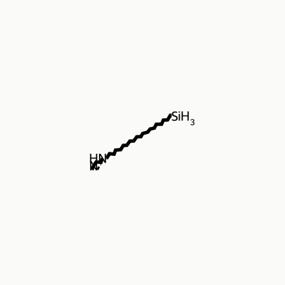 C[N+](C)(C)CCNCCCCCCCCCCCCCCCCCCCC[SiH3]